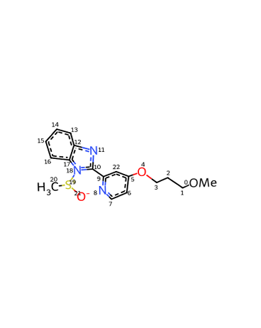 COCCCOc1ccnc(-c2nc3ccccc3n2[S+](C)[O-])c1